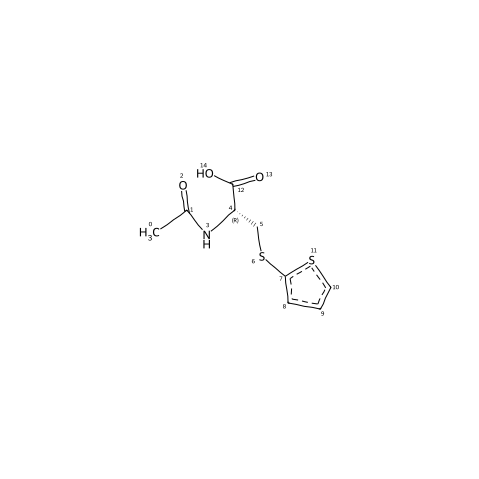 CC(=O)N[C@@H](CSc1cccs1)C(=O)O